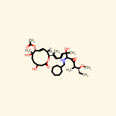 CC[C@H](OC)C(C)C1OC1C(NCC1CCCCCC1)C(C)(O)/C=C/C=C(\C)[C@H]1OC(=O)CC(O)CCC(C)(O)[C@@H](OC(C)=O)/C=C/C1C